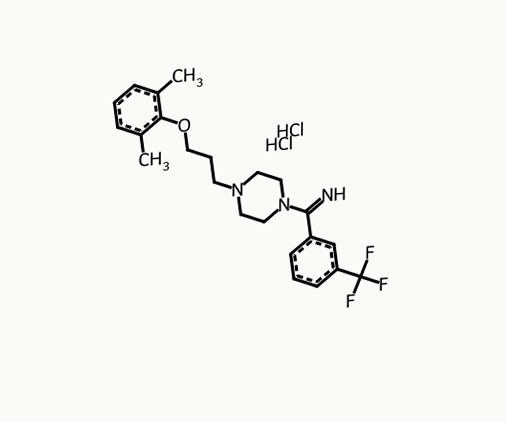 Cc1cccc(C)c1OCCCN1CCN(C(=N)c2cccc(C(F)(F)F)c2)CC1.Cl.Cl